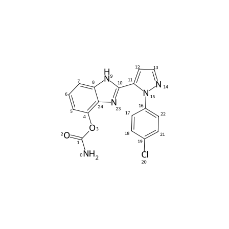 NC(=O)Oc1cccc2[nH]c(-c3ccnn3-c3ccc(Cl)cc3)nc12